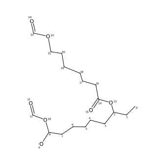 CCC(CCCCCC([O])OC=O)OC(=O)CCCCCCOC=O